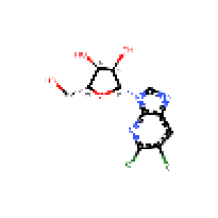 OC[C@H]1O[C@@H](n2cnc3cc(Cl)c(Cl)nc32)[C@H](O)[C@@H]1O